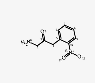 NCC(=O)Cc1ccccc1[N+](=O)[O-]